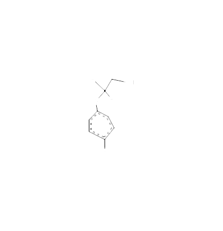 OCC(F)(F)Oc1ccc(F)cc1